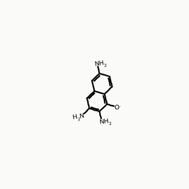 Nc1ccc2c([O])c(N)c(N)cc2c1